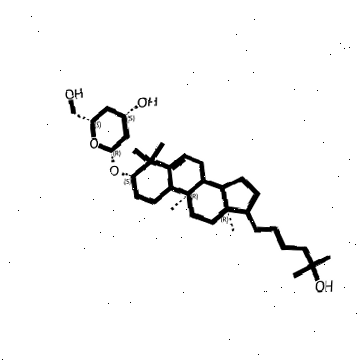 CC(C)(O)CCCCC1CCC2C3CC=C4C(CC[C@H](O[C@H]5C[C@@H](O)C[C@@H](CO)O5)C4(C)C)[C@]3(C)CC[C@]12C